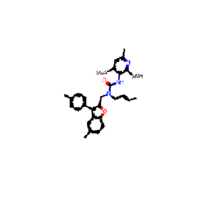 CC=CCN(Cc1oc2ccc(C)cc2c1-c1ccc(C)cc1)C(=O)Nc1c(SC)cc(C)nc1SC